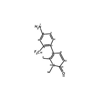 Cc1c(-c2ccc(N)cc2C(F)(F)F)ccc(=O)n1C